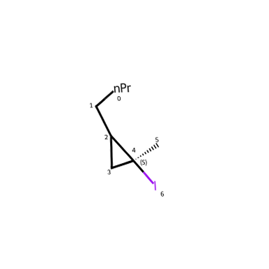 CCCCC1C[C@]1(C)I